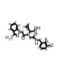 Cc1nn(CC(=O)N(CC(=O)NCc2cccc(Cl)c2F)C(CO)C2CC2)c2ccccc12